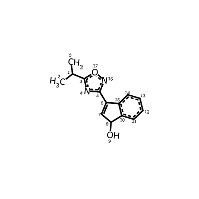 CC(C)c1nc(C2=CC(O)c3ccccc32)no1